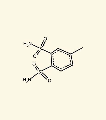 Cc1ccc(S(N)(=O)=O)c(S(N)(=O)=O)c1